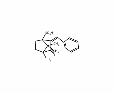 CC12CCC(S(=O)(=O)O)(C(=Cc3ccccc3)C1=O)C2(C)C